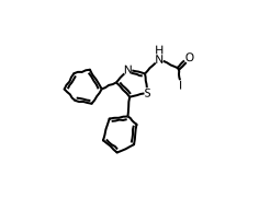 O=C(I)Nc1nc(-c2ccccc2)c(-c2ccccc2)s1